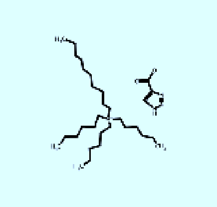 CCCCCCCCCC[P+](CCCCCC)(CCCCCC)CCCCCC.O=C([O-])c1c[nH]nn1